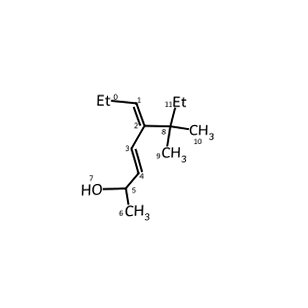 CC/C=C(\C=C\C(C)O)C(C)(C)CC